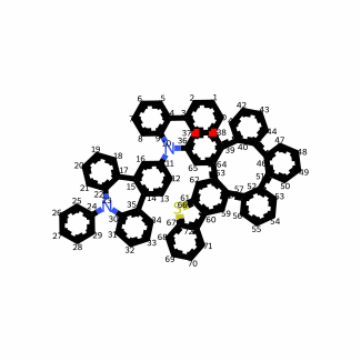 c1ccc(-c2ccccc2N(c2ccc3c(c2)-c2ccccc2N(c2ccccc2)c2ccccc2-3)c2ccc3c4ccccc4c4ccccc4c4ccccc4c4cc5c(cc4c3c2)sc2ccccc25)cc1